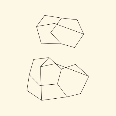 C1C2CC3C4CC5CC(C14)C(C2)C3C5.C1C2CC3CC1CC(C2)C3